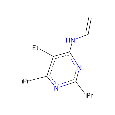 C=CNc1nc(C(C)C)nc(C(C)C)c1CC